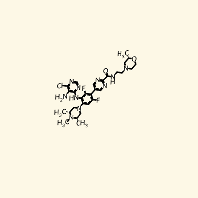 C[C@@H]1CN(c2cc(F)c(-c3cnc(C(=O)NCCN4CCO[C@@H](C)C4)nc3)c(F)c2Nc2ncnc(Cl)c2N)C[C@H](C)N1C